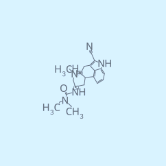 CCN(CC)C(=O)N[C@H]1CC2c3cccc4[nH]c(C#N)c(c34)C[C@H]2N(C)C1